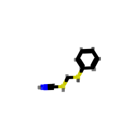 N#CSCSc1ccccc1